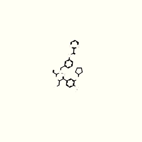 CCC1OC(C=O)N(Cc2cccc(NC(=O)c3ncccn3)c2)N=C1c1ccc(OC)c(OC2CCCC2)c1